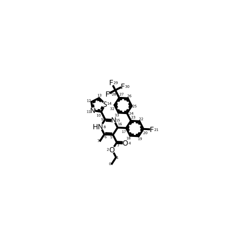 CCOC(=O)C1=C(C)NC(c2nccs2)=NC1c1ccc(F)cc1-c1ccc(C(F)(F)F)cc1